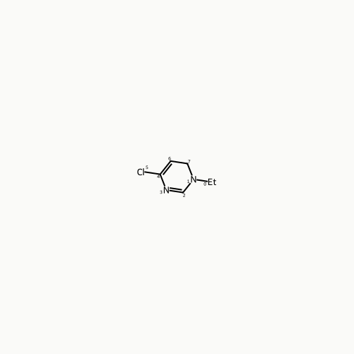 CCN1C=NC(Cl)=CC1